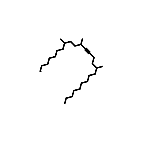 [CH2]CCCCCCCCC(C)CCC#CC(C)CCC(C)CCCCCC[CH2]